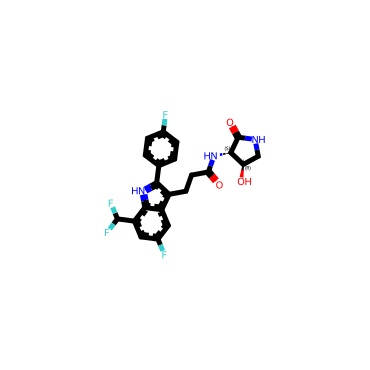 O=C(CCc1c(-c2ccc(F)cc2)[nH]c2c(C(F)F)cc(F)cc12)N[C@@H]1C(=O)NC[C@H]1O